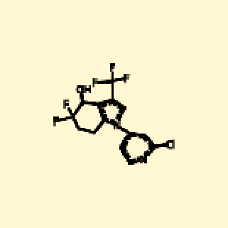 OC1c2c(C(F)(F)F)cn(-c3ccnc(Cl)c3)c2CCC1(F)F